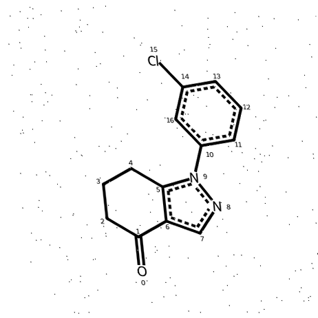 O=C1CCCc2c1cnn2-c1cccc(Cl)c1